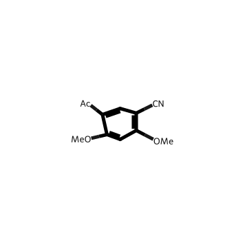 COc1cc(OC)c(C(C)=O)cc1C#N